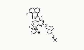 C#Cc1c(F)ccc2cccc(-c3nc4c5c(nc(OC[C@@]67CCCN6[C@H](COC(C)(C)C)CC7)nc5c3F)N3C[C@@H]5CC[C@@H](N5)[C@H]3CC4)c12